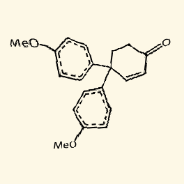 COc1ccc(C2(c3ccc(OC)cc3)C=CC(=O)CC2)cc1